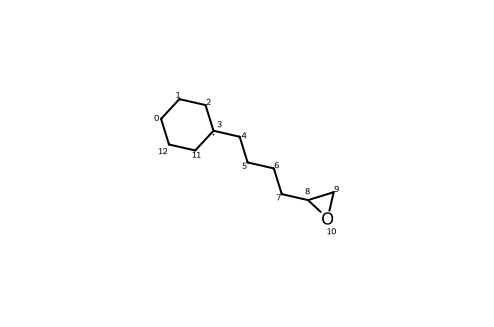 C1CC[C](CCCCC2CO2)CC1